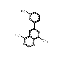 Cc1cccc(-c2cc3c(N)ncnc3c(C)n2)c1